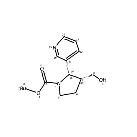 CC(C)(C)OC(=O)N1CC[C@@H](CO)[C@H]1c1cccnc1